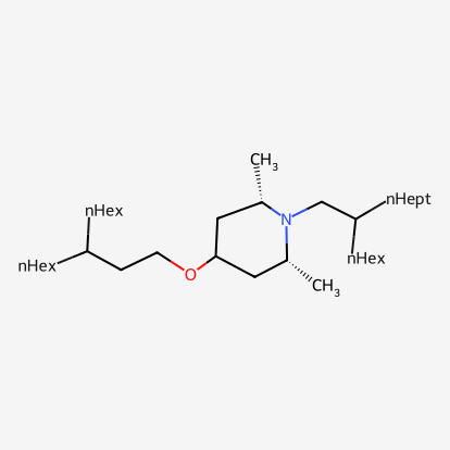 CCCCCCCC(CCCCCC)CN1[C@H](C)CC(OCCC(CCCCCC)CCCCCC)C[C@@H]1C